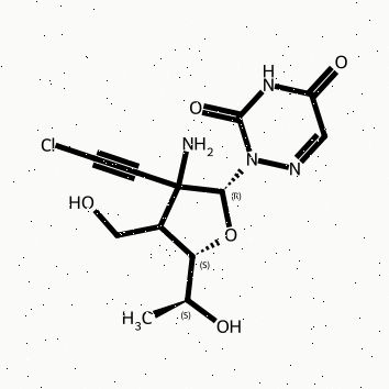 C[C@H](O)[C@H]1O[C@@H](n2ncc(=O)[nH]c2=O)C(N)(C#CCl)C1CO